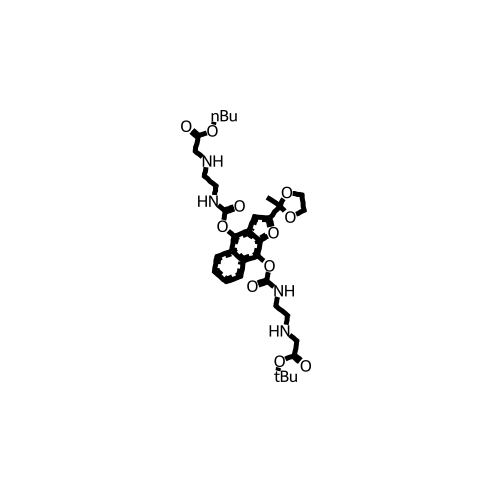 CCCCOC(=O)CNCCNC(=O)Oc1c2ccccc2c(OC(=O)NCCNCC(=O)OC(C)(C)C)c2oc(C3(C)OCCO3)cc12